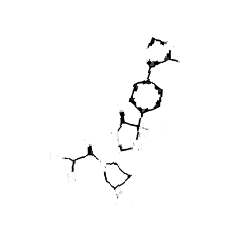 Cc1ncsc1-c1ccc([C@]2(C)NC([C@@H]3C[C@@H](O)CN3C(=O)C(N)C(C)(C)C)=NC2=O)cc1